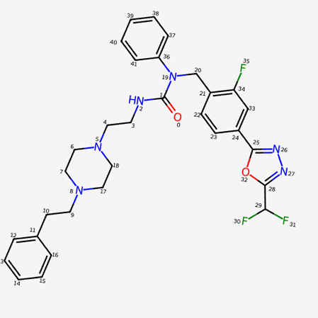 O=C(NCCN1CCN(CCc2ccccc2)CC1)N(Cc1ccc(-c2nnc(C(F)F)o2)cc1F)c1ccccc1